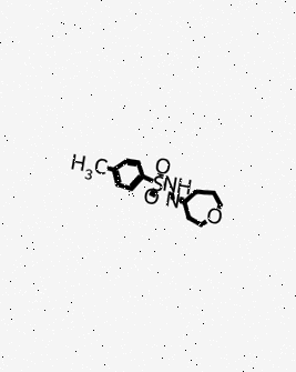 Cc1ccc(S(=O)(=O)NN=C2CCCOCC2)cc1